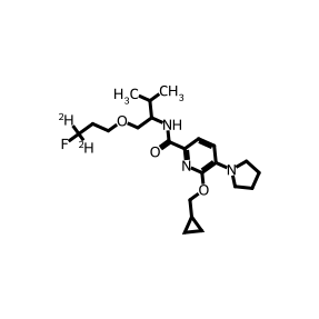 [2H]C([2H])(F)CCOCC(NC(=O)c1ccc(N2CCCC2)c(OCC2CC2)n1)C(C)C